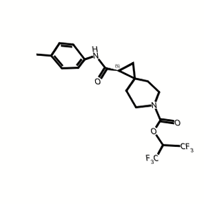 Cc1ccc(NC(=O)[C@H]2CC23CCN(C(=O)OC(C(F)(F)F)C(F)(F)F)CC3)cc1